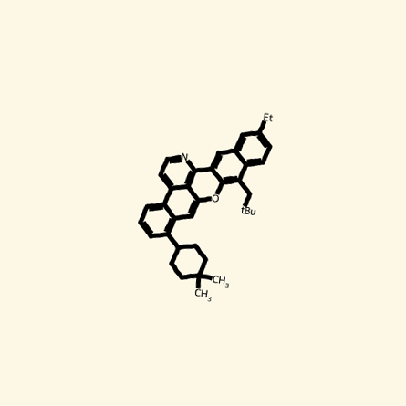 CCc1ccc2c(CC(C)(C)C)c3c(cc2c1)-c1nccc2c1c(cc1c(C4CCC(C)(C)CC4)cccc12)O3